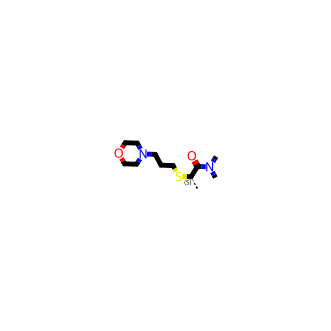 C[C@H](SCCCN1CCOCC1)C(=O)N(C)C